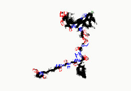 CC[C@@]1(O)C(=O)OCc2c1cc1n(c2=O)Cc2c-1nc1cc(F)c(C)c3c1c2[C@@H](N(C)C(=O)COCNC(=O)CNC(=O)[C@H](CCc1ccccc1)NC(=O)CNC(=O)CNC(=O)CCCCCN1C(=O)C=CC1=O)CC3